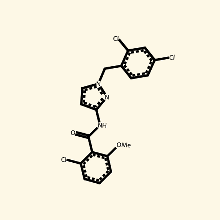 COc1cccc(Cl)c1C(=O)Nc1ccn(Cc2ccc(Cl)cc2Cl)n1